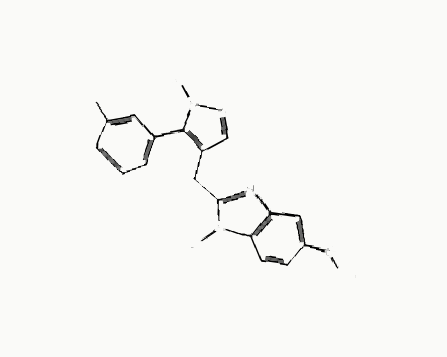 CBc1ccc2c(c1)nc(Cc1cnn(C)c1-c1cccc(F)c1)n2CC